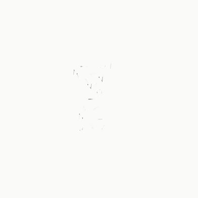 C[C@H](c1ccccc1)N(C)c1ccc(Oc2nc(O)c3ccncc3n2)cc1